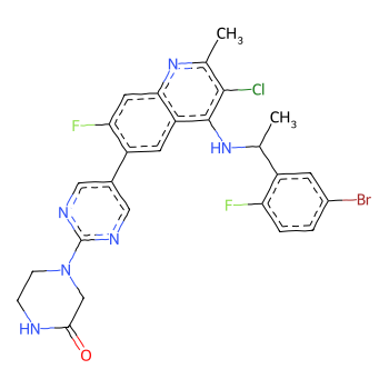 Cc1nc2cc(F)c(-c3cnc(N4CCNC(=O)C4)nc3)cc2c(NC(C)c2cc(Br)ccc2F)c1Cl